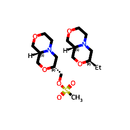 CC[C@@H]1CN2CCOC[C@H]2CO1.CS(=O)(=O)OC[C@H]1CN2CCOC[C@H]2CO1